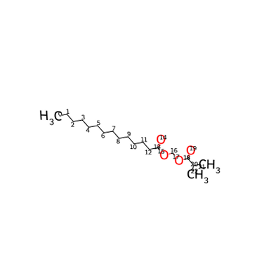 CCCCCCCCCCCCCC(=O)OCOC(=O)C(C)C